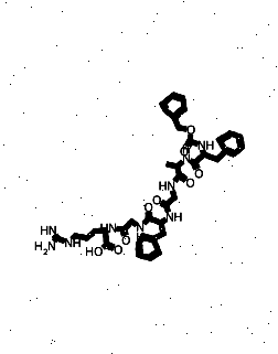 CC(NC(=O)C(Cc1ccccc1)NC(=O)OCc1ccccc1)C(=O)NCC(=O)NC(Cc1ccccc1)C(=O)NCC(=O)NC(CCCNC(=N)N)C(=O)O